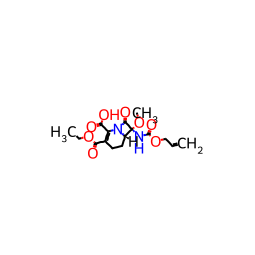 C=CCOC(=O)N[C@]1(OC)C(=O)N2C(C(=O)O)=C(C(=O)OCC)CC[C@H]21